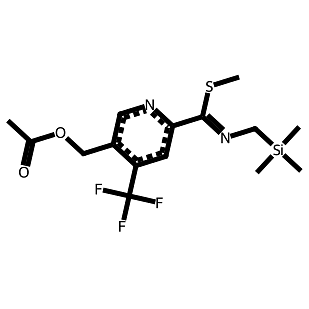 CSC(=NC[Si](C)(C)C)c1cc(C(F)(F)F)c(COC(C)=O)cn1